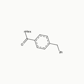 CCCCCCC(=O)c1ccc(CC(C)C)cc1